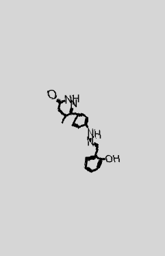 CC1CC(=O)NN=C1c1ccc(NN=Cc2ccccc2O)cc1